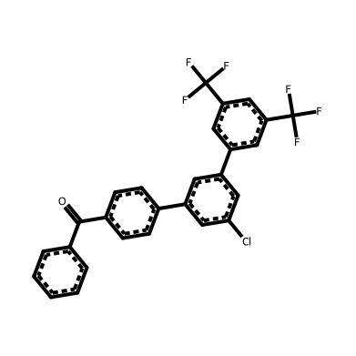 O=C(c1ccccc1)c1ccc(-c2cc(Cl)cc(-c3cc(C(F)(F)F)cc(C(F)(F)F)c3)c2)cc1